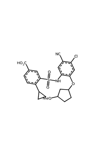 COC1CCC(Oc2cc(Cl)c(C#N)cc2NS(=O)(=O)c2cc(C(=O)O)ccc2C2CC2)C1